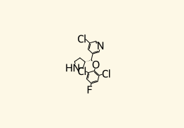 Fc1cc(Cl)c(OC(c2cncc(Cl)c2)[C@H]2CCNC2)c(Cl)c1